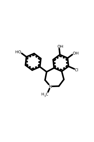 CN1CCc2c(cc(O)c(O)c2Cl)C(c2ccc(O)cc2)C1